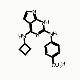 O=C(O)c1ccc(Nc2nc(NC3CCC3)c3ccnc-3[nH]2)cc1